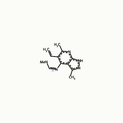 C=Cc1c(C)nc2[nH]nc(C)c2c1/N=C\NC